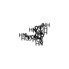 O=C(O)[C@@H](Cc1ccc2[nH]nc(CN(Cc3n[nH]c4ccc(C[C@H](C(=O)O)[C@H]5CCNC5)cc34)Cc3n[nH]c4ccc(C[C@H](C(=O)O)[C@H]5CCNC5)cc34)c2c1)[C@H]1CCNC1